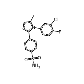 Cc1ccc(-c2ccc(S(N)(=O)=O)cc2)n1-c1ccc(F)c(Cl)c1